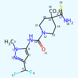 Cn1nc(C(F)F)cc1NC(=O)N1CCC(C(=O)O)(C(N)=S)CC1